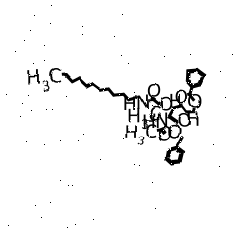 CCCCCCCCCCCCNC(=O)C(C)O[C@@H]1[C@@H](NC(C)=O)[C@H](OCc2ccccc2)O[C@@H]2COC(c3ccccc3)O[C@@H]12